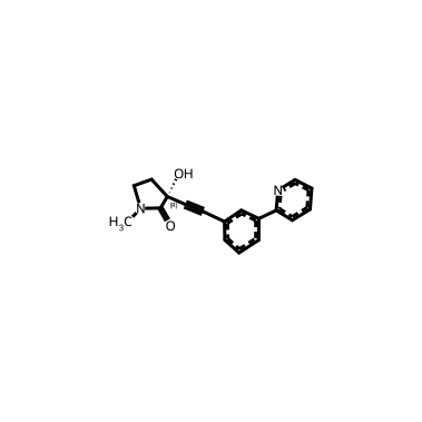 CN1CC[C@@](O)(C#Cc2cccc(-c3ccccn3)c2)C1=O